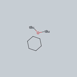 C1CCCCC1.CC(C)(C)OC(C)(C)C